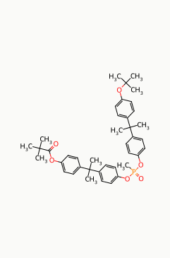 CC(C)(C)Oc1ccc(C(C)(C)c2ccc(OP(C)(=O)Oc3ccc(C(C)(C)c4ccc(OC(=O)C(C)(C)C)cc4)cc3)cc2)cc1